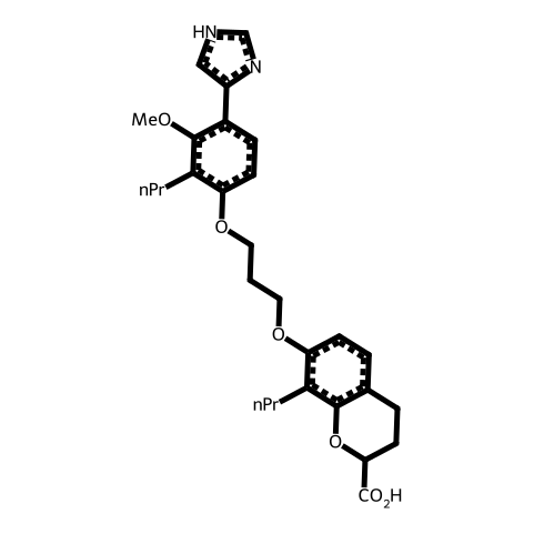 CCCc1c(OCCCOc2ccc(-c3c[nH]cn3)c(OC)c2CCC)ccc2c1OC(C(=O)O)CC2